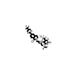 CC(F)(F)c1c(N[C@H](CCCn2ccc3cc(-c4ncc(C(F)(F)I)cn4)ccc3c2=O)COC(F)F)cn[nH]c1=O